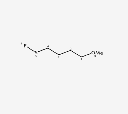 COCCCCSF